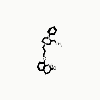 CCC1CN(CCCOc2cccc3c2NC(=O)CC3)CCN1c1ccccc1